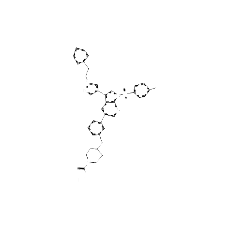 Cc1ccc(S(=O)(=O)n2cc(-c3cnn(CCc4ccccc4)c3)c3cc(-c4cccc(CC5CCN(C(=O)OC(C)(C)C)CC5)c4)cnc32)cc1